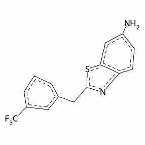 Nc1ccc2nc(Cc3cccc(C(F)(F)F)c3)sc2c1